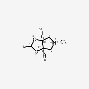 [CH2-][NH+]1C[C@@H]2OC(C)O[C@@H]2C1